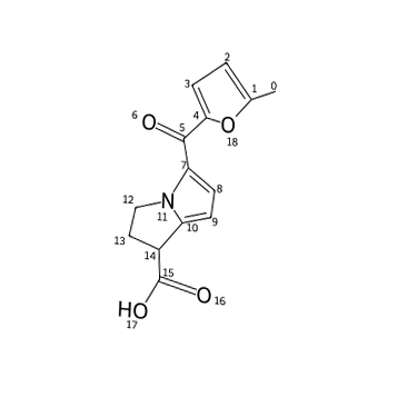 Cc1ccc(C(=O)c2ccc3n2CCC3C(=O)O)o1